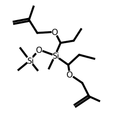 C=C(C)COC(CC)[Si](C)(O[Si](C)(C)C)C(CC)OCC(=C)C